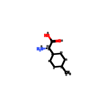 CC1CCC([C@H](N)C(=O)O)CC1